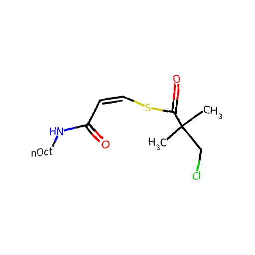 CCCCCCCCNC(=O)/C=C\SC(=O)C(C)(C)CCl